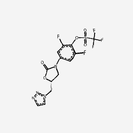 O=C1O[C@@H](Cn2ccnn2)CN1c1cc(F)c(OS(=O)(=O)C(F)(F)F)c(F)c1